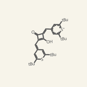 CC(C)(C)C1=CC(=CC2=C(O)C(=Cc3cc(C(C)(C)C)[s+]c(C(C)(C)C)c3)C2=O)C=C(C(C)(C)C)S1